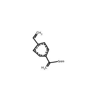 C=Cc1ccc([C](=C)[SnH])cc1